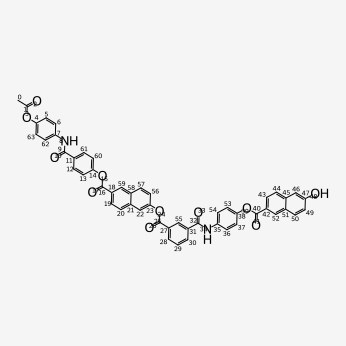 CC(=O)Oc1ccc(NC(=O)c2ccc(OC(=O)c3ccc4cc(OC(=O)c5cccc(C(=O)Nc6ccc(OC(=O)c7ccc8cc(O)ccc8c7)cc6)c5)ccc4c3)cc2)cc1